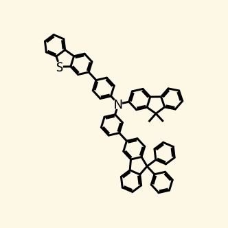 CC1(C)c2ccccc2-c2ccc(N(c3ccc(-c4ccc5c(c4)sc4ccccc45)cc3)c3cccc(-c4ccc5c(c4)-c4ccccc4C5(c4ccccc4)c4ccccc4)c3)cc21